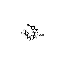 CC(c1ccc(C#N)cc1)N1C[C@@H](CO)n2nc3c(c2C1=O)CN(C(=O)c1ccc(Cl)c(Cl)c1)[C@H](C)C3